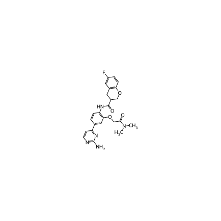 CN(C)C(=O)COc1cc(-c2ccnc(N)n2)ccc1NC(=O)C1COc2ccc(F)cc2C1